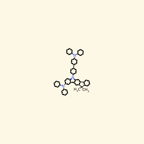 CC1(C)c2ccccc2-c2cc3c(cc21)c1cc(N(c2ccccc2)c2ccccc2)ccc1n3-c1ccc(-c2ccc(N(c3ccccc3)c3ccccc3)cc2)cc1